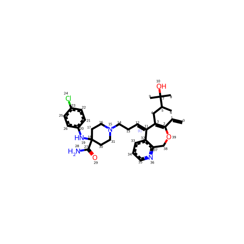 C=CC1=C(CC(C)C(C)(C)O)/C(=C/CCN2CCC(Nc3ccc(Cl)cc3)(C(N)=O)CC2)c2cccnc2CO1